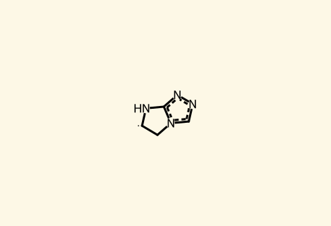 [CH]1Cn2cnnc2N1